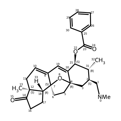 CNC[C@H]1C[C@@]23CC[C@@]4(O2)C(=CC[C@]2(C)C(=O)CC[C@H]24)C=C3[C@@H](OC(=O)c2ccccc2)[C@@H]1C